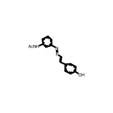 CC(=O)Nc1cccc(N=NC=Cc2ccc(O)cc2)c1